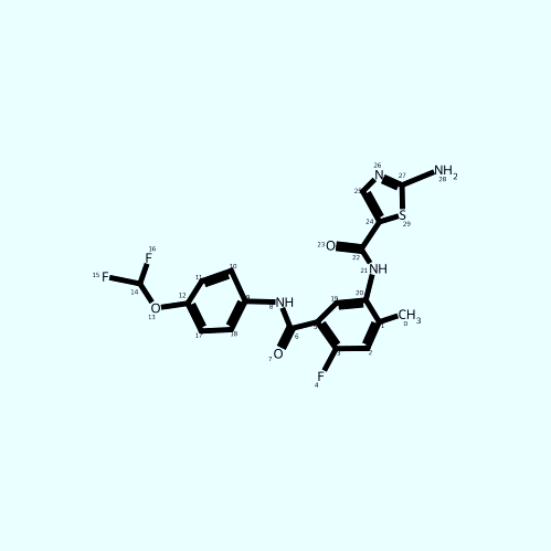 Cc1cc(F)c(C(=O)Nc2ccc(OC(F)F)cc2)cc1NC(=O)c1cnc(N)s1